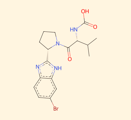 CC(C)[C@@H](NC(=O)O)C(=O)N1CCC[C@H]1c1nc2ccc(Br)cc2[nH]1